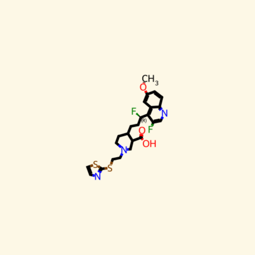 COc1ccc2ncc(F)c([C@H](F)CCC3CCN(CCSc4nccs4)CC3C(=O)O)c2c1